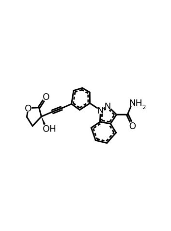 NC(=O)c1nn(-c2cccc(C#C[C@]3(O)CCOC3=O)c2)c2ccccc12